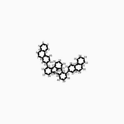 c1ccc2c(c1)ccc1cc(-c3cccc4c3c3cccc5c6c(-c7ccc8c(ccc9ccccc98)c7)cccc6n4c35)ccc12